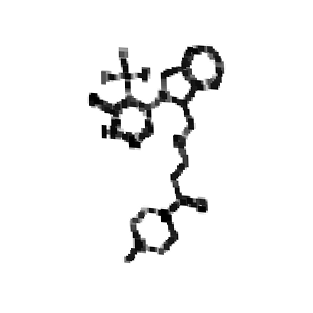 CN1CCN(C(=O)CCOCC2c3ccccc3CN2c2cn[nH]c(=O)c2C(F)(F)F)CC1